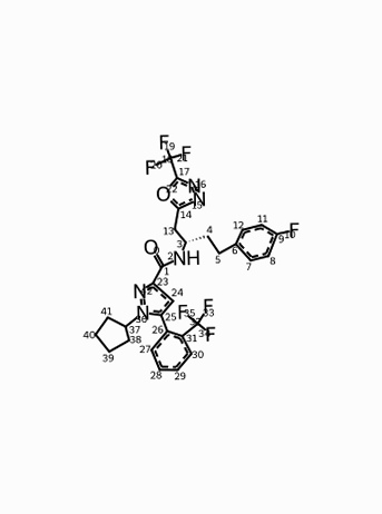 O=C(N[C@@H](CCc1ccc(F)cc1)Cc1nnc(C(F)(F)F)o1)c1cc(-c2ccccc2C(F)(F)F)n(C2CCCC2)n1